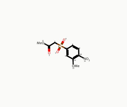 COC(=O)CS(=O)(=O)c1ccc([N+](=O)[O-])c(OC)c1